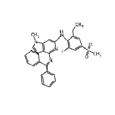 CCc1cc(S(C)(=O)=O)cc(F)c1Nc1cc2c(ncn2C)c(N=C(c2ccccc2)c2ccccc2)n1